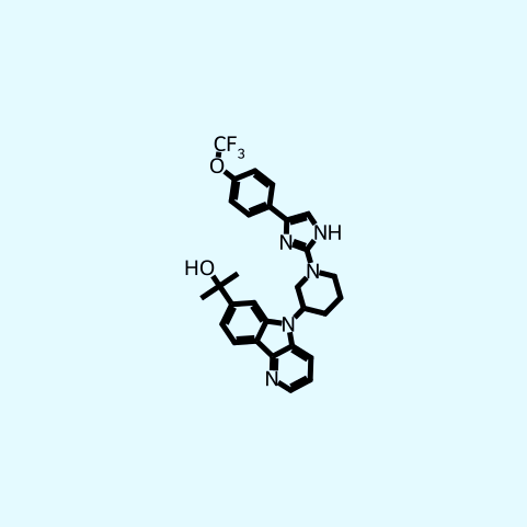 CC(C)(O)c1ccc2c3ncccc3n(C3CCCN(c4nc(-c5ccc(OC(F)(F)F)cc5)c[nH]4)C3)c2c1